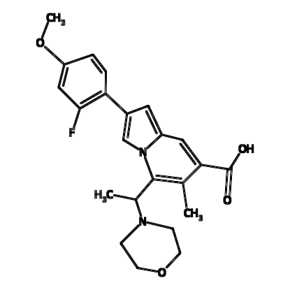 COc1ccc(-c2cc3cc(C(=O)O)c(C)c(C(C)N4CCOCC4)n3c2)c(F)c1